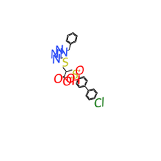 O=C(O)C(CSc1nnnn1Cc1ccccc1)CS(=O)(=O)c1ccc(-c2ccc(Cl)cc2)cc1